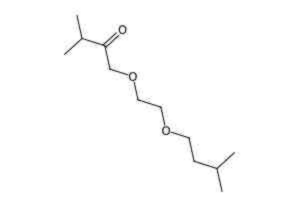 CC(C)CCOCCOCC(=O)C(C)C